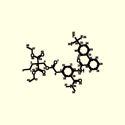 CCCC(COC(=O)Cc1ccc(NC(=O)c2ccccc2-c2ccc(C(F)(F)F)cc2)c(C(=O)N(C)C)c1)(C(=O)OCC)C(=O)OCC